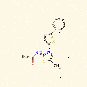 Cc1cn(-c2ccc(-c3ccccc3)s2)/c(=N/C(=O)C(C)(C)C)s1